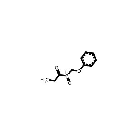 CCC(=O)[PH](=O)COc1ccccc1